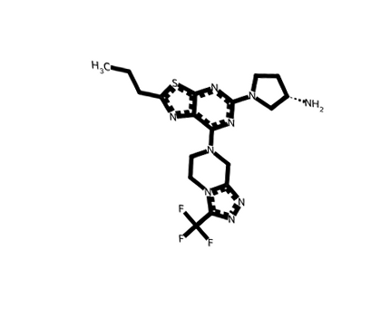 CCCc1nc2c(N3CCn4c(nnc4C(F)(F)F)C3)nc(N3CC[C@H](N)C3)nc2s1